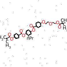 C=C(C)C(=O)OCCOCCOc1ccc(C(=O)Oc2ccc(OC(=O)c3ccc(OC(=O)C(=C)C)cc3)c(CCC)c2)cc1